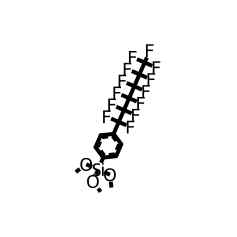 CO[Si](OC)(OC)c1ccc(C(F)(F)C(F)(F)C(F)(F)C(F)(F)C(F)(F)C(F)(F)F)cc1